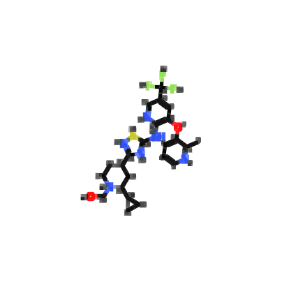 Cc1ncccc1Oc1cc(C(F)(F)F)cnc1Nc1nc(C2CCN(C=O)C(C3CC3)C2)ns1